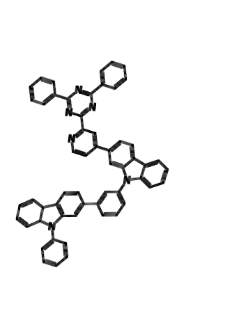 C1=CC2c3ccc(-c4cccc(-n5c6ccccc6c6ccc(-c7ccnc(-c8nc(-c9ccccc9)nc(-c9ccccc9)n8)c7)cc65)c4)cc3N(c3ccccc3)C2C=C1